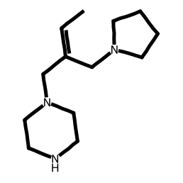 CC=C(CN1CCCC1)CN1CCNCC1